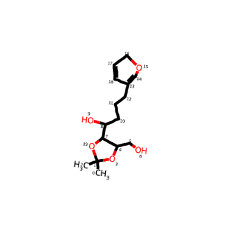 CC1(C)OC(CO)C(C(O)CCCC2=COCC=C2)O1